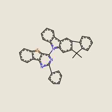 CC1(C)c2ccccc2-c2cc3c4ccccc4n(-c4nc(-c5ccccc5)nc5c4sc4ccccc45)c3cc21